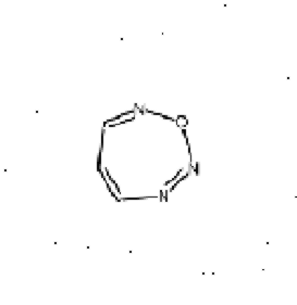 C1=CN=NON=C1